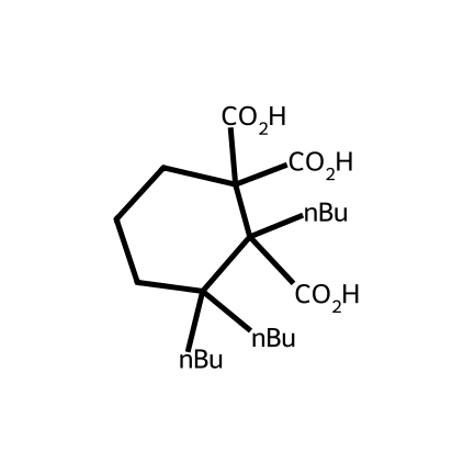 CCCCC1(CCCC)CCCC(C(=O)O)(C(=O)O)C1(CCCC)C(=O)O